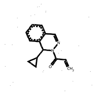 C=CC(=O)N1N=Cc2ccccc2C1C1CC1